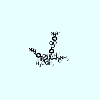 CC(C)C(NC(=O)c1ccc(CN=[N+]=[N-])cc1)C(=O)NC(CCCNC(N)=O)C(=O)Nc1ccc(COC(=O)Oc2ccc([N+](=O)[O-])cc2)cc1